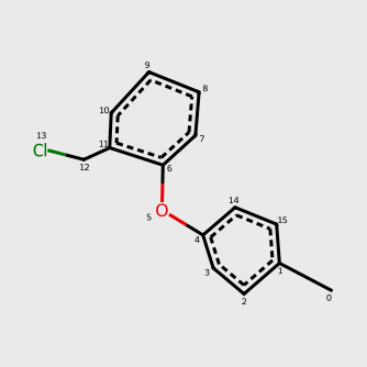 Cc1ccc(Oc2ccccc2CCl)cc1